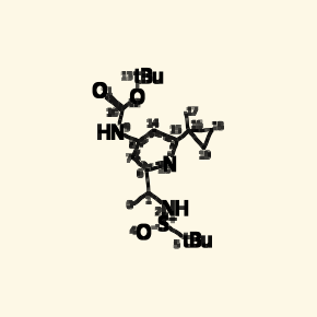 CC(N[S+]([O-])C(C)(C)C)c1cc(NC(=O)OC(C)(C)C)cc(C2(C)CC2)n1